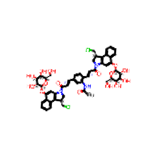 CCC(C)C(=O)Nc1cc(/C=C/C(=O)N2C[C@@H](CCl)c3c2cc(O[C@@H]2O[C@H](CO)[C@H](O)[C@H](O)[C@H]2O)c2ccccc32)ccc1/C=C/C(=O)N1C[C@@H](CCl)c2c1cc(O[C@@H]1O[C@H](CO)[C@H](O)[C@H](O)[C@H]1O)c1ccccc21